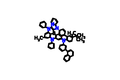 Cc1cc2c3c(c1)N(c1ccccc1)c1c(nc4ccccn14)B3c1ccc(N(c3cccc(-c4cccc5ccccc45)c3)c3ccc(C(C)(C)C)cc3-c3ccccc3)cc1N2c1ccccc1